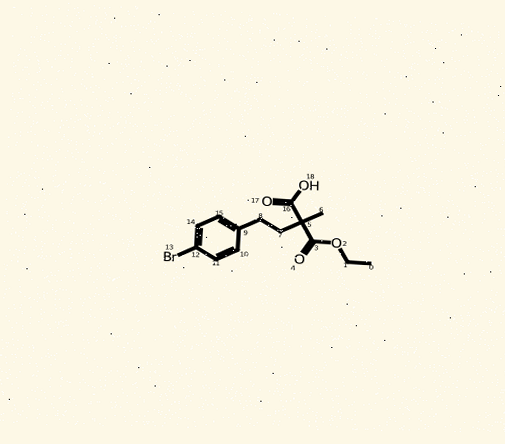 CCOC(=O)C(C)(CCc1ccc(Br)cc1)C(=O)O